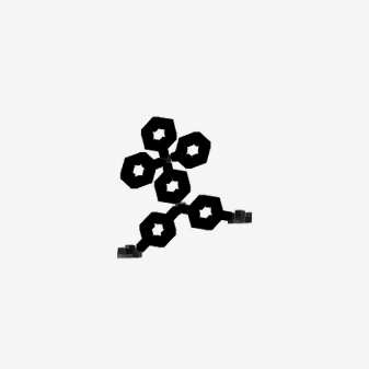 CCCCc1ccc([I+]c2ccc(CCCC)cc2)cc1.c1ccc([B-](c2ccccc2)(c2ccccc2)c2ccccc2)cc1